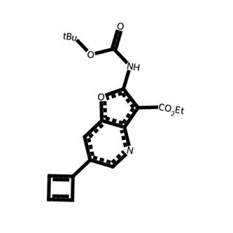 CCOC(=O)c1c(NC(=O)OC(C)(C)C)oc2cc(C3=CC=C3)cnc12